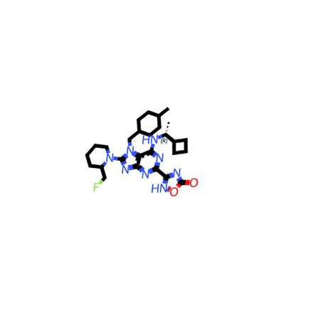 CC1CCC(Cn2c(N3CCCCC3CF)nc3nc(-c4nc(=O)o[nH]4)nc(N[C@H](C)C4CCC4)c32)CC1